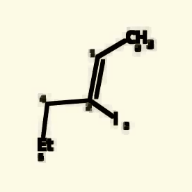 CC=C(I)CCC